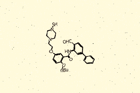 CCCCOc1ccc(OCCN2CCN(S)CC2)cc1C(=O)Nc1cc(-c2ccccc2)ccc1C=O